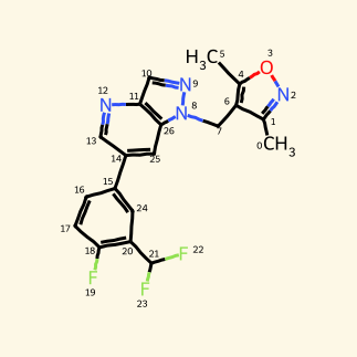 Cc1noc(C)c1Cn1ncc2ncc(-c3ccc(F)c(C(F)F)c3)cc21